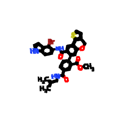 COC(=O)c1cc(C(=O)NCC(C)C)ccc1-c1cc2c(cc1C(=O)Nc1ccc3[nH]ccc3c1Br)-c1sccc1CO2